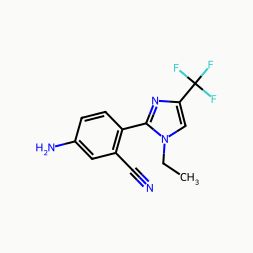 CCn1cc(C(F)(F)F)nc1-c1ccc(N)cc1C#N